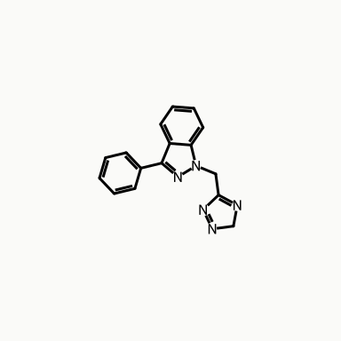 c1ccc(-c2nn(CC3=NCN=N3)c3ccccc23)cc1